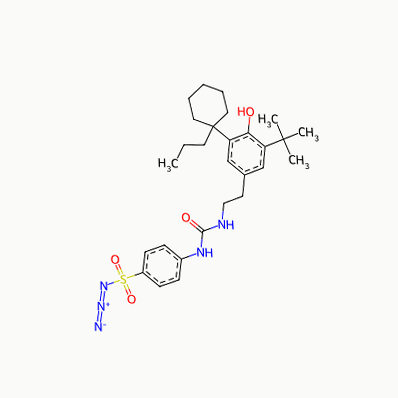 CCCC1(c2cc(CCNC(=O)Nc3ccc(S(=O)(=O)N=[N+]=[N-])cc3)cc(C(C)(C)C)c2O)CCCCC1